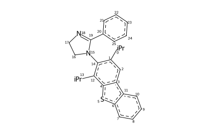 CC(C)c1cc2c(sc3ccccc32)c(C(C)C)c1N1CCN=C1c1ccccc1